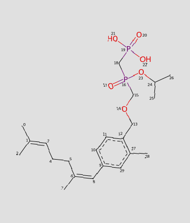 CC(C)=CCCC(C)=Cc1ccc(COCP(=O)(CP(=O)(O)O)OC(C)C)c(C)c1